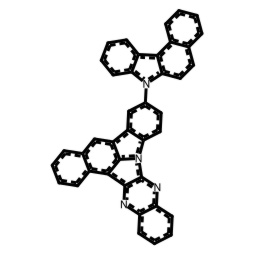 c1ccc2c(c1)ccc1c2c2ccccc2n1-c1ccc2c(c1)c1cc3ccccc3c3c4nc5ccccc5nc4n2c13